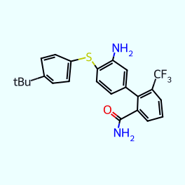 CC(C)(C)c1ccc(Sc2ccc(-c3c(C(N)=O)cccc3C(F)(F)F)cc2N)cc1